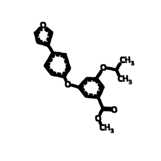 COC(=O)c1cc(Oc2ccc(-c3ccoc3)cc2)cc(OC(C)C)c1